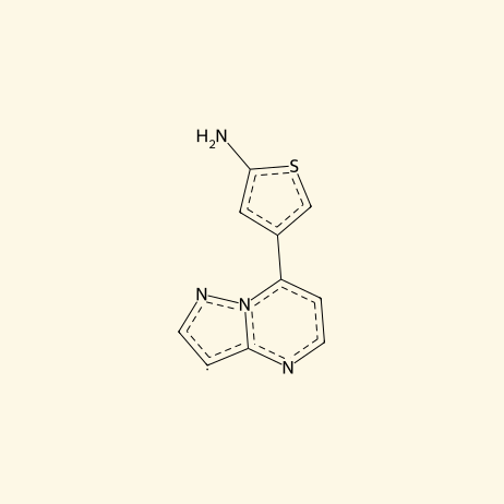 Nc1cc(-c2ccnc3[c]cnn23)cs1